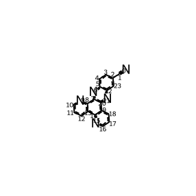 N#Cc1ccc2nc3c4ncccc4c4ncccc4c3nc2c1